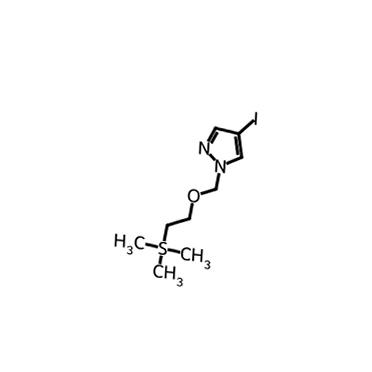 CS(C)(C)CCOCn1cc(I)cn1